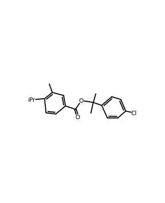 Cc1cc(C(=O)OC(C)(C)c2ccc(Cl)cc2)ccc1C(C)C